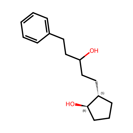 OC(CCc1ccccc1)CC[C@@H]1CCC[C@H]1O